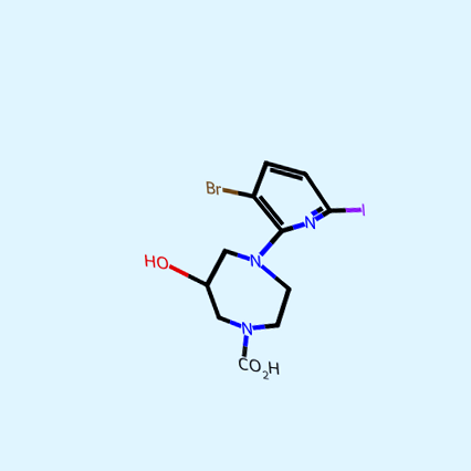 O=C(O)N1CCN(c2nc(I)ccc2Br)CC(O)C1